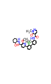 COc1nc(-c2cccc(-c3cccc(NC(=O)c4ccnn(C)c4=O)c3C)c2Cl)ccc1CNC1CCCCC1O